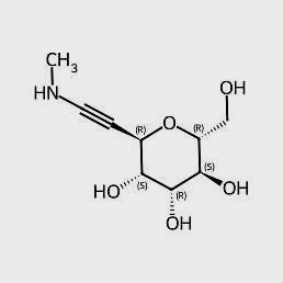 CNC#C[C@H]1O[C@H](CO)[C@@H](O)[C@H](O)[C@@H]1O